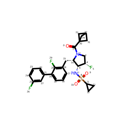 O=C(N1C[C@H](F)[C@H](NS(=O)(=O)C2CC2)[C@@H]1Cc1cccc(-c2cccc(F)c2)c1F)C12CC(C1)C2